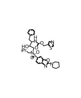 CC(C)CN(CC(O)C(Cc1ccccc1)NC(=O)OCc1cncs1)S(=O)(=O)c1ccc2nc(N3CCCCC3)oc2c1